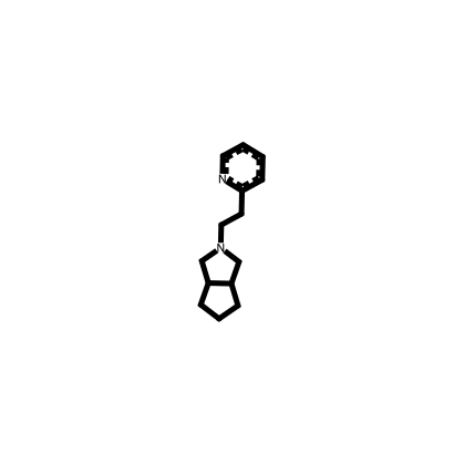 c1ccc(CCN2CC3CCCC3C2)nc1